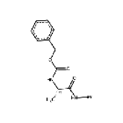 CC(C)NC(=O)[C@H](C)NC(=O)OCc1ccccc1